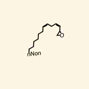 CCCCCCCCCCCCCCC/C=C\C/C=C\C1CO1